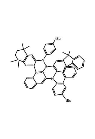 CC(C)(C)c1ccc(N2B3c4cc5c(cc4N(c4ccc(C(C)(C)C)cc4-c4ccccc4)c4cc6ccccc6c(c43)-c3cc4c(cc32)C(C)(C)CCC4(C)C)-c2ccccc2C5(C)C)cc1